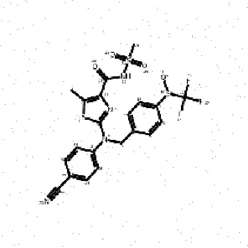 Cc1sc(N(Cc2ccc([S+]([O-])C(F)(F)F)cc2)c2ccc(C#N)cc2)nc1C(=O)NS(C)(=O)=O